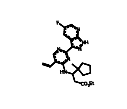 C=Cc1cnc(-c2n[nH]c3ncc(F)cc23)nc1NC(CC(=O)OCC)C1(C)CCCC1